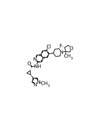 Cn1cc([C@H]2C[C@@H]2C(=O)Nc2cc3cc(C4CCN([C@@]5(C)COC[C@H]5F)CC4)c(Cl)cc3cn2)cn1